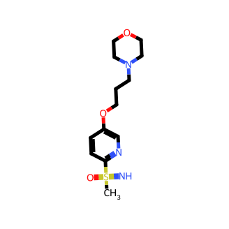 CS(=N)(=O)c1ccc(OCCCN2CCOCC2)cn1